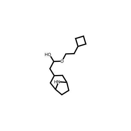 OC(CC1CC2CCC(C1)N2)OCCC1CCC1